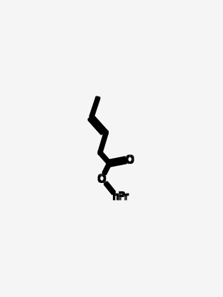 [CH2]CCOC(=O)CC=CC